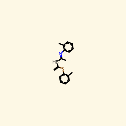 C=C(B/C(C)=N/c1ccccc1C)Sc1ccccc1C